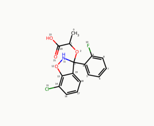 CC(OC1(c2ccccc2F)NOc2c(Cl)cccc21)C(=O)O